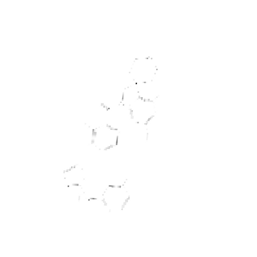 Cc1ccnc(Nc2ncc(Sc3ccnc(C(=O)NCC4(c5ccc(F)cc5F)CCNCC4)c3F)s2)c1